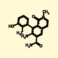 Cc1c(O)cccc1-c1c(N)c(C(N)=O)cc2ccn(C)c(=O)c12